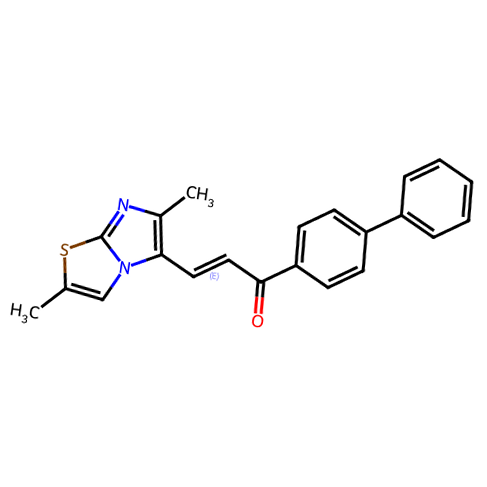 Cc1cn2c(/C=C/C(=O)c3ccc(-c4ccccc4)cc3)c(C)nc2s1